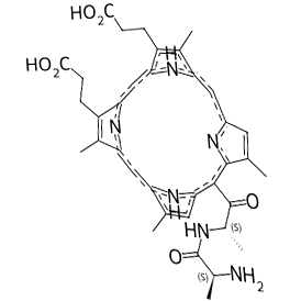 CC1=Cc2cc3[nH]c(cc4nc(cc5[nH]c(cc5C)c(C(=O)[C@H](C)NC(=O)[C@H](C)N)c1n2)C(C)=C4CCC(=O)O)c(CCC(=O)O)c3C